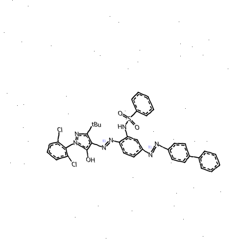 CC(C)(C)c1nn(-c2c(Cl)cccc2Cl)c(O)c1/N=N/c1ccc(/N=N/c2ccc(-c3ccccc3)cc2)cc1NS(=O)(=O)c1ccccc1